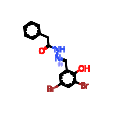 O=C(Cc1ccccc1)N/N=C/c1cc(Br)cc(Br)c1O